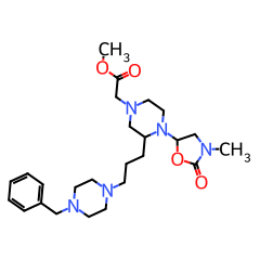 COC(=O)CN1CCN(C2CN(C)C(=O)O2)C(CCCN2CCN(Cc3ccccc3)CC2)C1